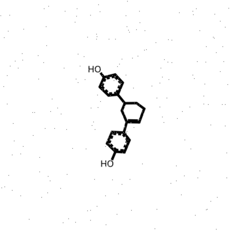 Oc1ccc(C2=CCCC(c3ccc(O)cc3)C2)cc1